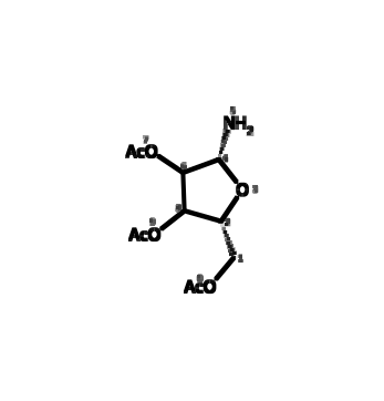 CC(=O)OC[C@H]1O[C@@H](N)C(OC(C)=O)C1OC(C)=O